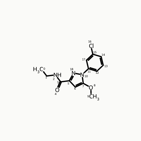 CCNC(=O)c1cc(OC)n(-c2cccc(Cl)c2)n1